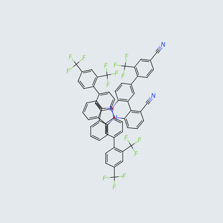 N#Cc1ccc(-c2ccc(-n3c4ccccc4c4cc(-c5ccc(C(F)(F)F)cc5C(F)(F)F)ccc43)c(-c3c(C#N)cccc3-n3c4ccccc4c4cc(-c5ccc(C(F)(F)F)cc5C(F)(F)F)ccc43)c2)c(C(F)(F)F)c1